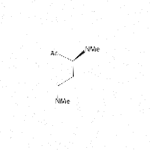 CNCC[C@H](NC)C(C)=O